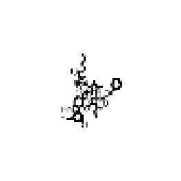 CCCOC(=O)c1noc([C@@H](NC(=O)C2(NC(=O)C(NC(=O)OCc3ccccc3)C(C)CC)CCc3[nH]c4c(Cl)cc(Cl)cc4c3C2)C(C)CC)n1